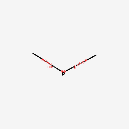 CCCCCCCCCCCCOCCOCCOCCOCCOC(=O)CCCCCCCCCCOc1ccc(C)cc1OCCCCCCCCCCC(CCOCCOCCOCCOCCCCCCCCCCCC)OO